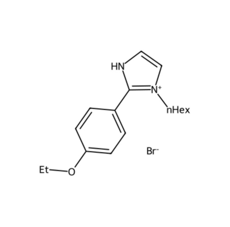 CCCCCC[n+]1cc[nH]c1-c1ccc(OCC)cc1.[Br-]